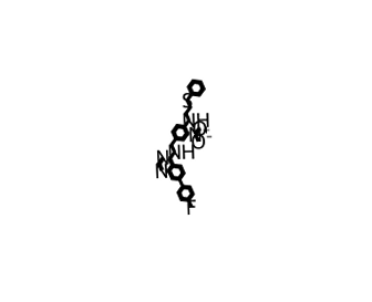 O=[N+]([O-])c1cc(CNc2ncnc3cc(-c4ccc(F)cc4)ccc23)ccc1NCCSc1ccccc1